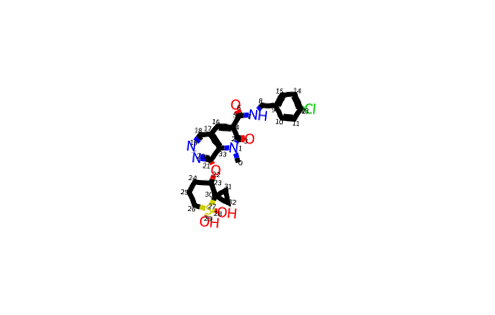 Cn1c(=O)c(C(=O)NCc2ccc(Cl)cc2)cc2cnnc(OC3CCCS(O)(O)C34CC4)c21